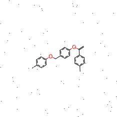 C=C(Oc1ccc(COc2ccc(C)cc2)cc1)c1ccc(C)cc1